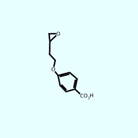 O=C(O)c1ccc(OCCC2CO2)cc1